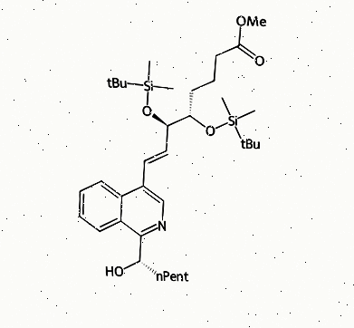 CCCCC[C@H](O)c1ncc(/C=C/[C@@H](O[Si](C)(C)C(C)(C)C)[C@H](CCCC(=O)OC)O[Si](C)(C)C(C)(C)C)c2ccccc12